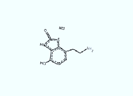 Cl.NCCc1ccc(O)c2[nH]c(=O)sc12